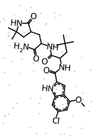 COc1cc(Cl)cc2[nH]c(C(=O)NC(CC(C)(C)C)C(=O)NC(CC3CC(C)(C)NC3=O)C(N)=O)cc12